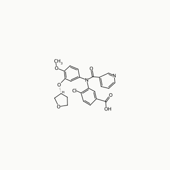 COc1ccc(N(C(=O)c2cccnc2)c2cc(C(=O)O)ccc2Cl)cc1O[C@@H]1CCOC1